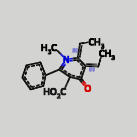 C/C=c1/c(=O)c(C(=O)O)c(-c2ccccc2)n(C)/c1=C/C